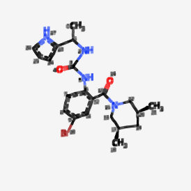 CC(NC(=O)Nc1ccc(Br)cc1C(=O)N1C[C@H](C)C[C@H](C)C1)c1ccc[nH]1